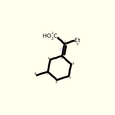 CC/C(C(=O)O)=C1\CCCC(C)C1